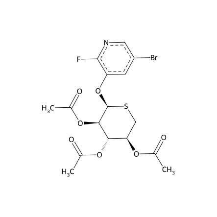 CC(=O)O[C@@H]1[C@@H](OC(C)=O)[C@@H](Oc2cc(Br)cnc2F)SC[C@H]1OC(C)=O